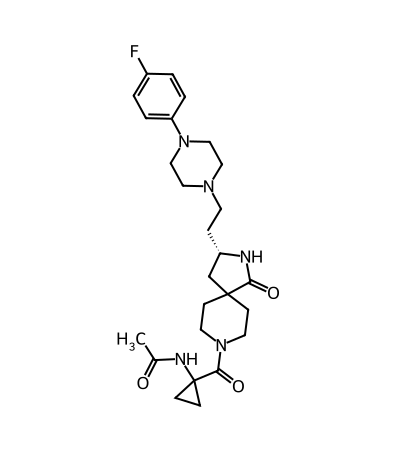 CC(=O)NC1(C(=O)N2CCC3(CC2)C[C@H](CCN2CCN(c4ccc(F)cc4)CC2)NC3=O)CC1